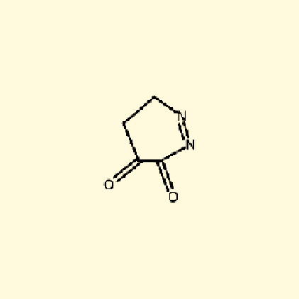 O=C1CCN=NC1=O